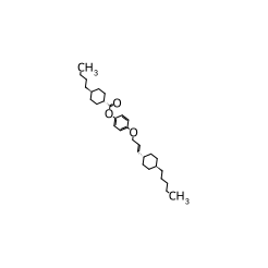 CCCCC[C@H]1CC[C@H](C=CCOc2ccc(OC(=O)[C@H]3CC[C@H](CCCC)CC3)cc2)CC1